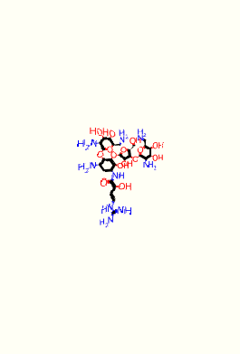 N=C(N)NCC[C@H](O)C(=O)N[C@@H]1C[C@H](N)[C@@H](O[C@H]2O[C@H](CN)[C@@H](O)[C@H](O)[C@H]2N)[C@H](O[C@@H]2O[C@H](CO)[C@@H](O[C@H]3O[C@@H](CN)[C@@H](O)[C@H](O)[C@H]3N)[C@H]2O)[C@H]1O